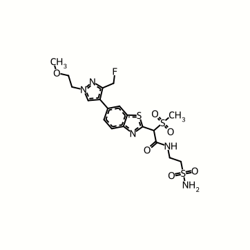 COCCn1cc(-c2ccc3nc(C(C(=O)NCCS(N)(=O)=O)S(C)(=O)=O)sc3c2)c(CF)n1